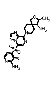 C[C@@H]1OCC2(CCN(c3ncc(S(=O)(=O)c4ccnc(N)c4Cl)n4ncnc34)CC2)[C@@H]1N